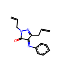 C=CCC1=NN(CC=C)C(=O)/C1=N/c1ccccc1